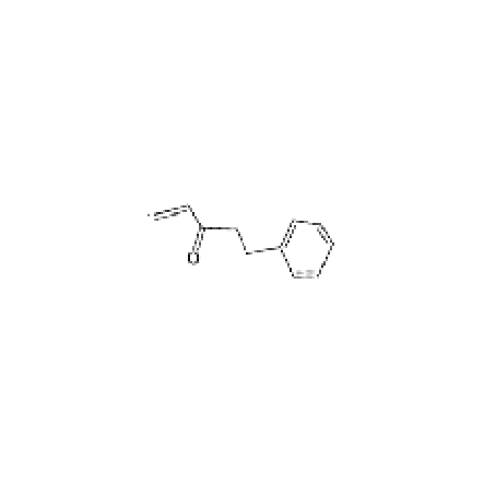 [CH]=CC(=O)CCc1ccccc1